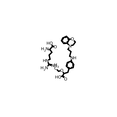 CCOC(Cc1ccc(NCCCN2CCOc3ccccc32)cc1)C(=O)O.N=C(N)NCCC[C@H](N)C(=O)O